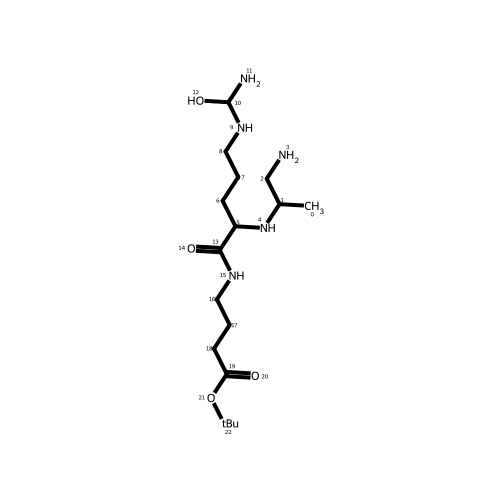 CC(CN)NC(CCCNC(N)O)C(=O)NCCCC(=O)OC(C)(C)C